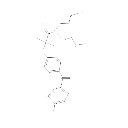 CC(C)(Oc1ccc(C(=O)c2ccc(Cl)cc2)cc1)C(=O)N(OCCO)OCCO